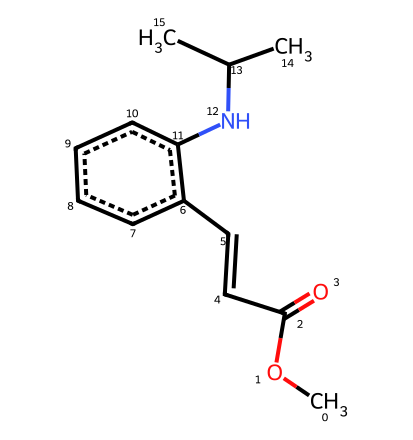 COC(=O)C=Cc1ccccc1NC(C)C